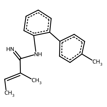 C/C=C(\C)C(=N)Nc1ccccc1-c1ccc(C)cc1